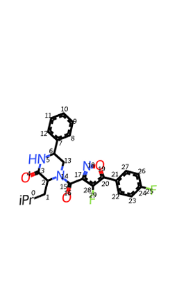 CC(C)CC1C(=O)NC(c2ccccc2)CN1C(=O)c1noc(-c2ccc(F)cc2)c1F